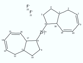 C1=CCC2CC[CH]([Zr+2][CH]3CCC4CC=CC=CC43)C2C=C1.[F-].[F-]